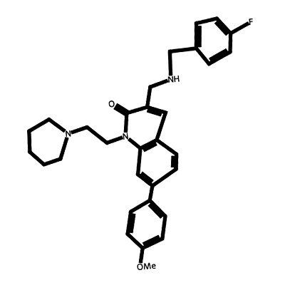 COc1ccc(-c2ccc3cc(CNCc4ccc(F)cc4)c(=O)n(CCN4CCCCC4)c3c2)cc1